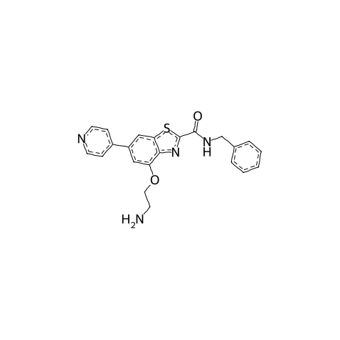 NCCOc1cc(-c2ccncc2)cc2sc(C(=O)NCc3ccccc3)nc12